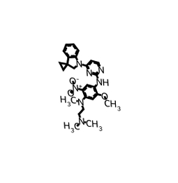 COc1cc(N(C)CCN(C)C)c([N+](=O)[O-])cc1Nc1nccc(N2CC3(CC3)c3ccccc32)n1